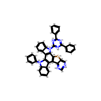 c1ccc(-c2nc(-c3ccccc3)nc(-n3c4ccccc4c4c3c3sc5cncnc5c3c3c5ccccc5n(-c5ccccc5)c34)n2)cc1